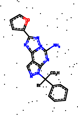 CCC(C(=O)O)(c1ccccc1)n1ncc2c1nc(N)n1nc(-c3ccco3)nc21